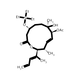 C=C/C=C(\C)[C@H]1OC(=O)C[C@H](O[Si](CC)(CC)CC)CC[C@@](C)(O)[C@@H](OC(C)=O)/C=C/[C@@H]1C